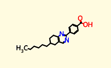 CCCCCCC1CCc2nc(-c3ccc(C(=O)O)cc3)ncc2C1